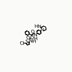 N=C1CCCCN1c1ccc(NC(=O)[C@H](OC(=O)Nc2ccc(Cl)s2)c2ccccc2)cc1